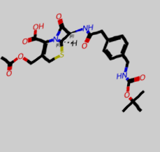 CC(=O)OCC1=C(C(=O)O)N2C(=O)[C@@H](NC(=O)Cc3ccc(CNC(=O)OC(C)(C)C)cc3)[C@H]2SC1